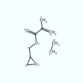 C=C(C)C(=O)OCC1CO1.CC